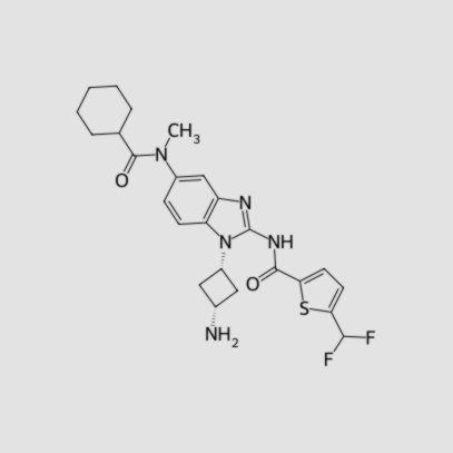 CN(C(=O)C1CCCCC1)c1ccc2c(c1)nc(NC(=O)c1ccc(C(F)F)s1)n2[C@H]1C[C@@H](N)C1